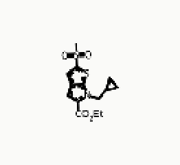 CCOC(=O)c1cc2cc(S(C)(=O)=O)sc2n1CC1CC1